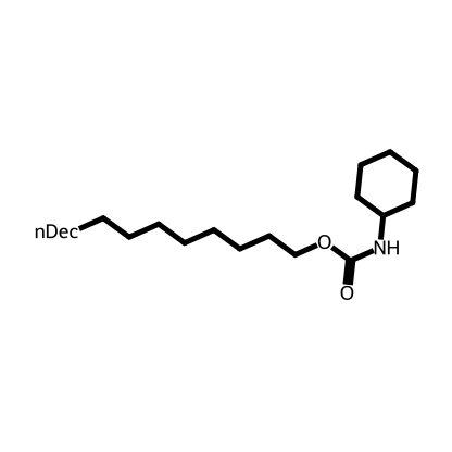 CCCCCCCCCCCCCCCCCCOC(=O)NC1CCCCC1